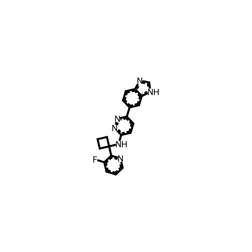 Fc1cccnc1C1(Nc2ccc(-c3ccc4nc[nH]c4c3)nn2)CCC1